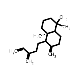 C=CC(=C)CCC1C(=C)CCC2C(C)(C)CCC[C@]12C